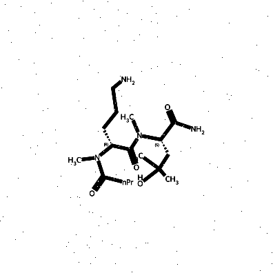 CCCC(=O)N(C)[C@H](CCCN)C(=O)N(C)[C@@H](CC(C)(C)O)C(N)=O